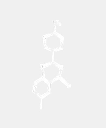 Cc1ccc2nc(-c3ccc([N+](=O)[O-])cc3)oc(=O)c2c1